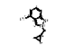 CC(C)c1cccc2nn(CC3CC3)cc12